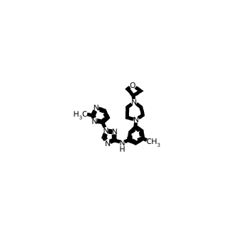 Cc1cc(Nc2ncn(-c3ccnc(C)n3)n2)cc(N2CCN(C3COC3)CC2)c1